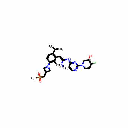 C=N/C(=C\c1c(C(C)C)ccc(N2CC(CS(C)(=O)=O)C2)c1C)Nc1ccnc(N2CC[C@H](F)[C@H](O)C2)n1